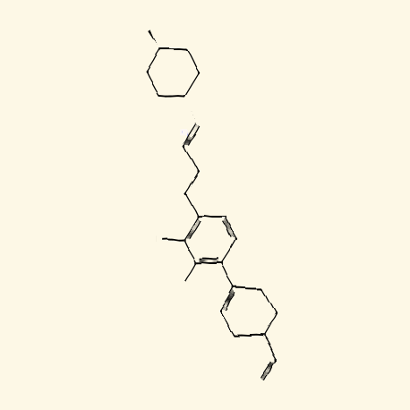 C=CC1CC=C(c2ccc(CC/C=C/[C@H]3CC[C@H](CCC)CC3)c(F)c2F)CC1